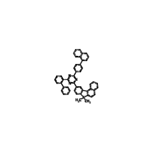 C[Si]1(C)c2ccc(-c3nc(-c4ccc(-c5cccc6ccccc56)cc4)nc(-c4ccccc4-c4ccccc4)n3)cc2-c2c1ccc1ccccc21